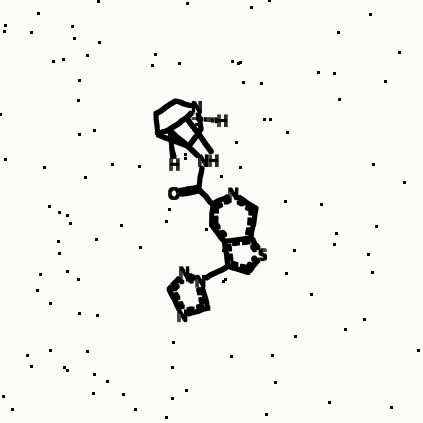 C[C@H]1[C@H](NC(=O)c2cc3c(-n4cncn4)csc3cn2)C2CCN1CC2